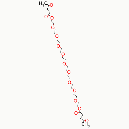 CC(=O)CCC(=O)OCCOCCOCCOCCOCCOCCOCCOCCOCCOCCOC(=O)CCC(C)=O